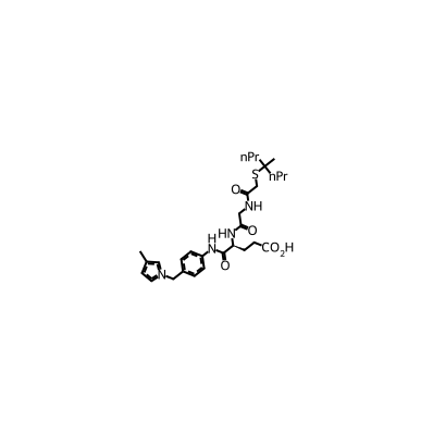 CCCC(C)(CCC)SCC(=O)NCC(=O)N[C@@H](CCC(=O)O)C(=O)Nc1ccc(Cn2ccc(C)c2)cc1